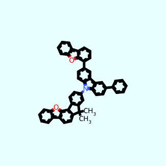 CC1(C)c2cc(-n3c4ccc(-c5ccccc5)cc4c4cc(-c5cccc6c5oc5ccccc56)ccc43)ccc2-c2c1ccc1c2oc2ccccc21